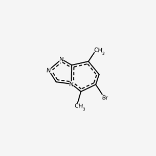 Cc1cc(Br)c(C)n2cnnc12